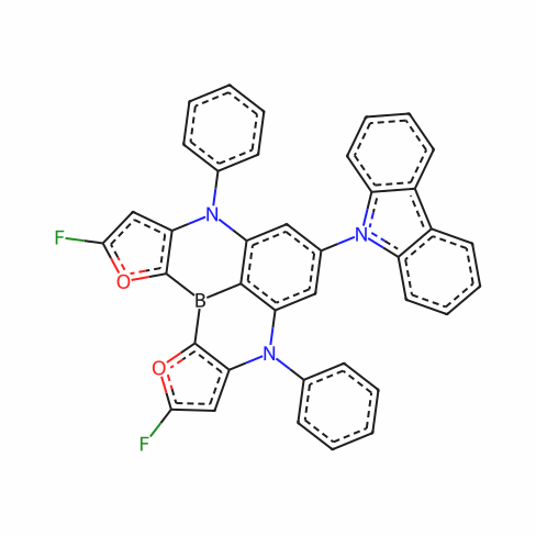 Fc1cc2c(o1)B1c3oc(F)cc3N(c3ccccc3)c3cc(-n4c5ccccc5c5ccccc54)cc(c31)N2c1ccccc1